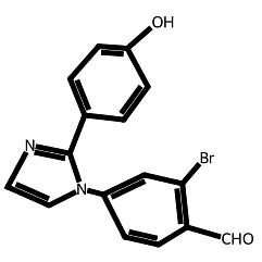 O=Cc1ccc(-n2ccnc2-c2ccc(O)cc2)cc1Br